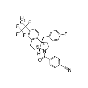 CC(F)(c1ccc2c(c1)CC[C@H]1N(C(=O)c3ccc(C#N)cc3)CC[C@@]21Cc1ccc(F)cc1)C(F)(F)F